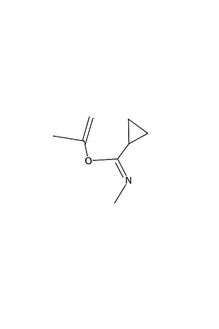 C=C(C)O/C(=N\C)C1CC1